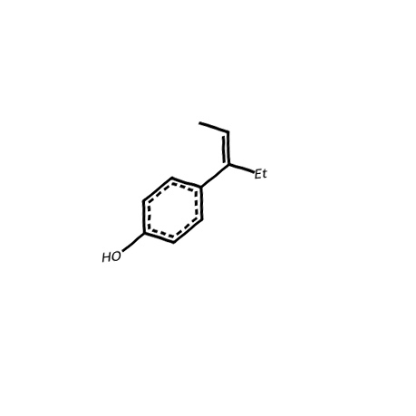 C/C=C(/CC)c1ccc(O)cc1